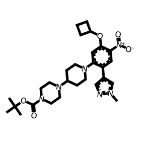 Cn1cc(-c2cc([N+](=O)[O-])c(OC3CCC3)cc2N2CCC(N3CCN(C(=O)OC(C)(C)C)CC3)CC2)cn1